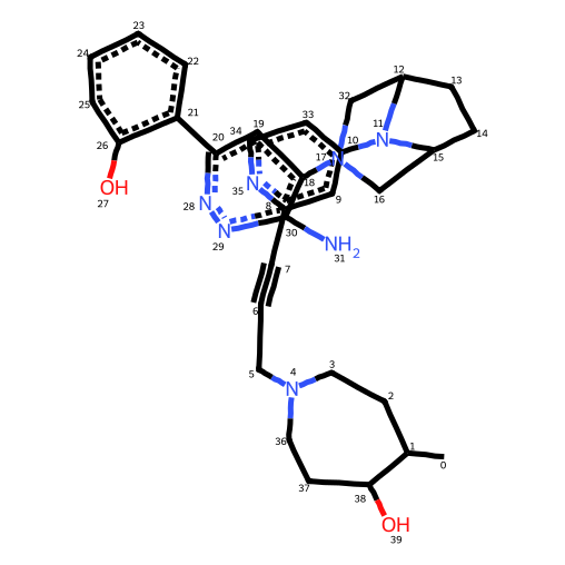 CC1CCN(CC#Cc2cc(N3C4CCC3CN(c3cc(-c5ccccc5O)nnc3N)C4)ccn2)CCC1O